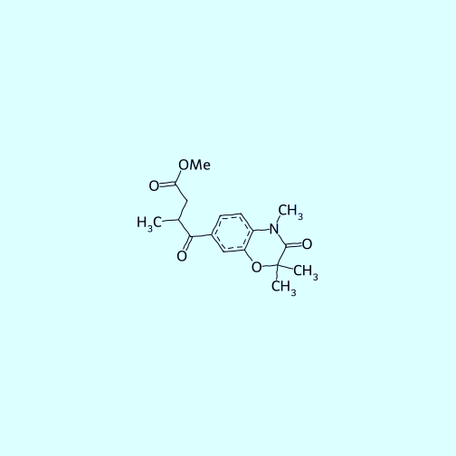 COC(=O)CC(C)C(=O)c1ccc2c(c1)OC(C)(C)C(=O)N2C